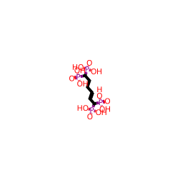 O=P(O)(O)C(/C=C/CCC(P(=O)(O)O)P(=O)(O)O)P(=O)(O)O